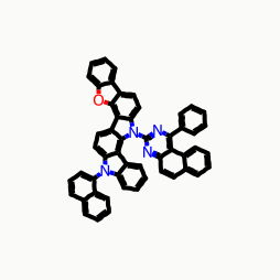 c1ccc(-c2nc(-n3c4ccc5c6ccccc6oc5c4c4ccc5c(c6ccccc6n5-c5cccc6ccccc56)c43)nc3ccc4ccccc4c23)cc1